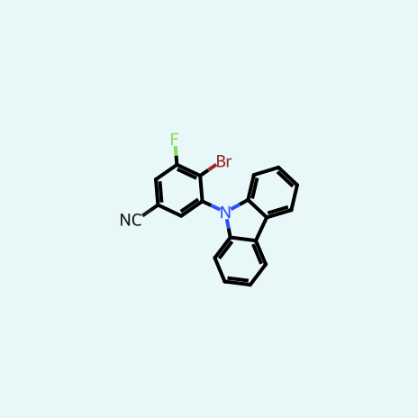 N#Cc1cc(F)c(Br)c(-n2c3ccccc3c3ccccc32)c1